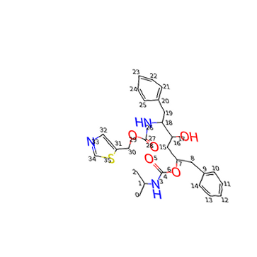 CC(C)NC(=O)OC(Cc1ccccc1)CC(O)C(Cc1ccccc1)NC(=O)OCc1cncs1